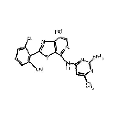 Cc1cc(Nc2nccc3nc(-c4c(Cl)cccc4C#N)sc23)nc(N)n1.Cl